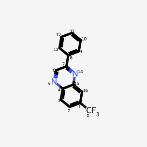 FC(F)(F)c1ccc2n[c]c(-c3ccccc3)nc2c1